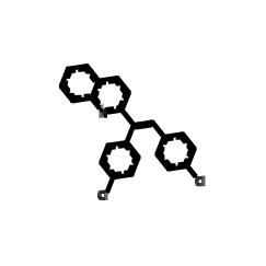 Clc1ccc(/C=C(\c2ccc(Cl)cc2)c2ccc3ccccc3n2)cc1